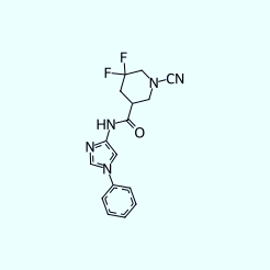 N#CN1CC(C(=O)Nc2cn(-c3ccccc3)cn2)CC(F)(F)C1